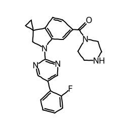 O=C(c1ccc2c(c1)N(c1ncc(-c3ccccc3F)cn1)CC21CC1)N1CCNCC1